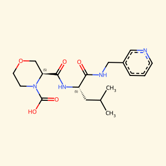 CC(C)C[C@H](NC(=O)[C@@H]1COCCN1C(=O)O)C(=O)NCc1cccnc1